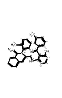 C=C1c2ccccc2C=C(CNc2ncnc(N)c2C(=N)c2cccc(N)c2)N1c1ccccc1C